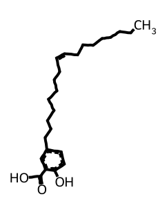 CCCCCCCC/C=C\CCCCCCCCc1ccc(O)c(C(=O)O)c1